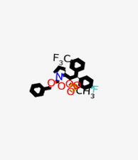 CS(=O)(=O)O[C@H]([C@@H](c1ccc(F)cc1)c1cccc(C(F)(F)F)c1)[C@H]1CCCN1C(=O)OCc1ccccc1